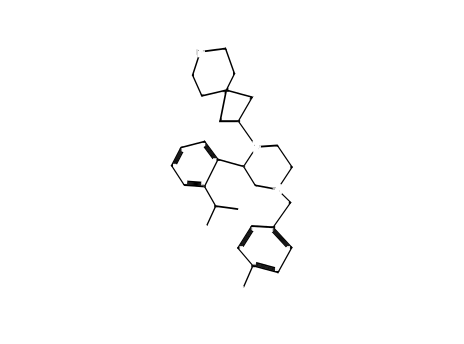 CC(C)c1ccccc1C1CN(Cc2ccc(F)cc2)CCN1C1CC2(CCNCC2)C1